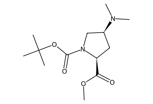 COC(=O)[C@@H]1C[C@H](N(C)C)CN1C(=O)OC(C)(C)C